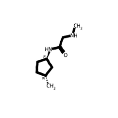 CNCC(=O)N[C@@H]1CC[C@@H](C)C1